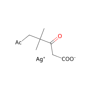 CC(=O)CC(C)(C)C(=O)CC(=O)[O-].[Ag+]